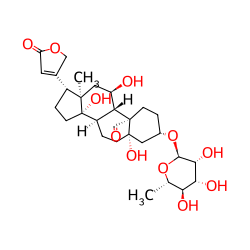 C[C@@H]1O[C@@H](O[C@H]2CC[C@]3(C=O)[C@H]4[C@H](O)C[C@]5(C)[C@@H](C6=CC(=O)OC6)CC[C@]5(O)[C@@H]4CC[C@]3(O)C2)[C@H](O)[C@H](O)[C@H]1O